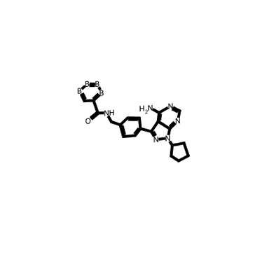 Nc1ncnc2c1c(-c1ccc(CNC(=O)c3bbbbc3)cc1)nn2C1CCCC1